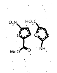 COC(=O)c1ccc([N+](=O)[O-])o1.Nc1ccc(C(=O)O)o1